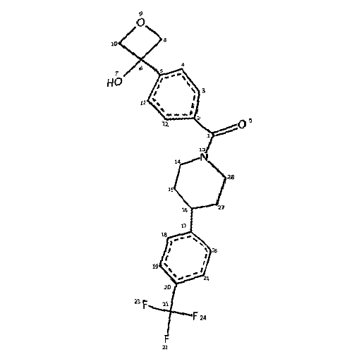 O=C(c1ccc(C2(O)COC2)cc1)N1CCC(c2ccc(C(F)(F)F)cc2)CC1